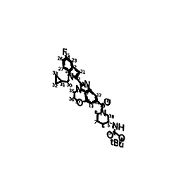 CC(C)(C)OC(=O)N[C@@H]1CCCN(C(=O)c2cc3c4c(c2)nc(-c2cc5cc(F)ccc5n2CC2CC2)n4CCO3)C1